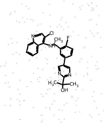 C[C@@H](Nc1c(Cl)cnc2ccccc12)c1cc(-c2cnc(C(C)(C)O)nc2)ccc1F